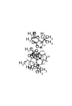 CCC(CC)(CC)C(=O)O[C@H]1C[C@H](C(C)(C)C)C=C2C=CC[C@H]([C@](C)(C[C@H]3C[C@H](C(C)(C)C)C(O[SiH](C)C)C(=O)O3)O[SiH](C)C)[C@H]21